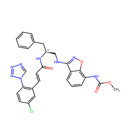 COC(=O)Nc1cccc2c(NC[C@H](Cc3ccccc3)NC(=O)/C=C/c3cc(Cl)ccc3-n3cnnn3)noc12